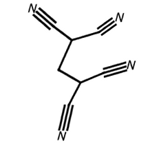 N#CC(C#N)CC(C#N)C#N